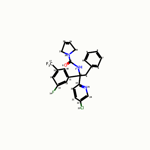 O=C(NC(Cc1ccccc1)(c1cc(F)cc(C(F)(F)F)c1)c1ccc(Cl)cn1)N1CC=CC1